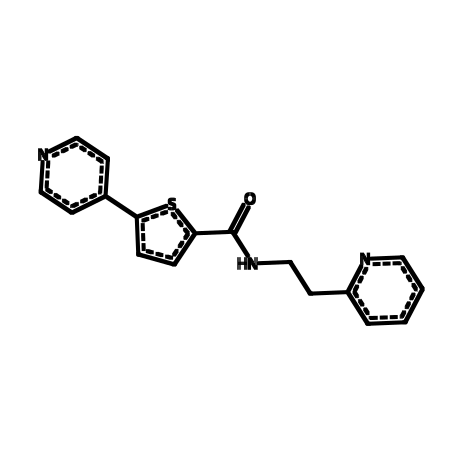 O=C(NCCc1ccccn1)c1ccc(-c2ccncc2)s1